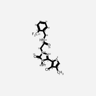 CCCn1c(-c2scc(C)c2Cl)nn(CC(=O)NCc2ccccc2C(F)(F)F)c1=O